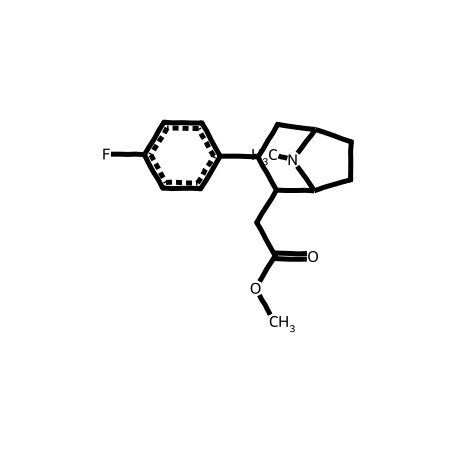 COC(=O)CC1C(c2ccc(F)cc2)CC2CCC1N2C